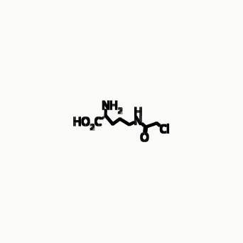 N[C@H](CCCNC(=O)CCl)C(=O)O